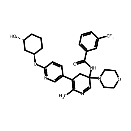 CC1=C(c2ccc(O[C@@H]3CCC[C@@H](O)C3)nc2)CC(NC(=O)c2cccc(C(F)(F)F)c2)(N2CCOCC2)C=N1